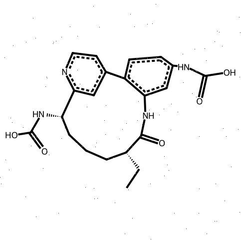 CC[C@@H]1CCC[C@H](NC(=O)O)c2cc(ccn2)-c2ccc(NC(=O)O)cc2NC1=O